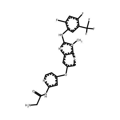 Cn1c(Nc2cc(C(F)(F)F)c(F)cc2F)nc2cc(Oc3ccnc(NC(=O)CN)c3)ccc21